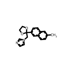 Cc1ccc2cc(C3(Cn4ccnc4)OCCO3)ccc2c1